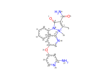 CC1=C(C(N)=O)C(=O)N(c2ccccc2)[N+]1(C)c1ccc(Oc2ccnc(N)c2)cn1